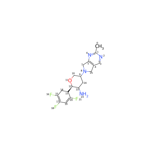 Cc1ncc2c(n1)CN(C1CO[C@H](C3CC(F)=C(F)C=C3F)C(N)C1)C2